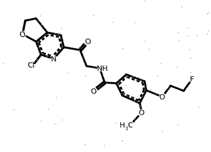 COc1cc(C(=O)NCC(=O)c2cc3c(c(Cl)n2)OCC3)ccc1OCCF